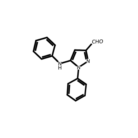 O=Cc1cc(Nc2ccccc2)n(-c2ccccc2)n1